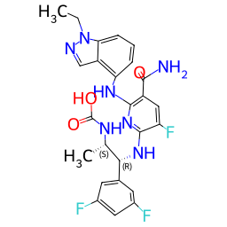 CCn1ncc2c(Nc3nc(N[C@H](c4cc(F)cc(F)c4)[C@H](C)NC(=O)O)c(F)cc3C(N)=O)cccc21